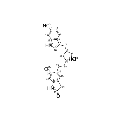 Cl.N#Cc1ccc2c(CC3CCN(CCc4cc5c(cc4Cl)NC(=O)C5)C3)c[nH]c2c1